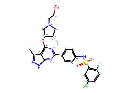 Cc1n[nH]c2nc(-c3ccc(NS(=O)(=O)c4cc(Cl)ccc4F)cc3)nc(O[C@@H]3CN(CCO)C[C@@H]3F)c12